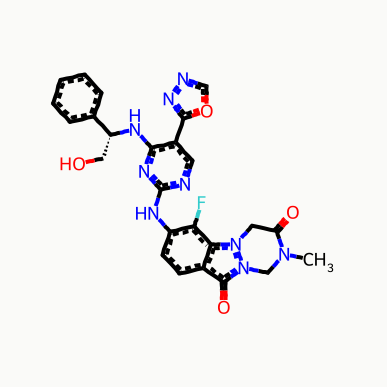 CN1Cn2c(=O)c3ccc(Nc4ncc(-c5nnco5)c(N[C@H](CO)c5ccccc5)n4)c(F)c3n2CC1=O